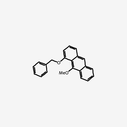 COc1c2ccccc2cc2cccc(OCc3ccccc3)c12